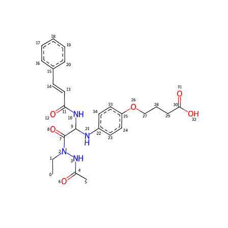 CCN(NC(C)=O)C(=O)C(NC(=O)C=Cc1ccccc1)Nc1ccc(OCCCC(=O)O)cc1